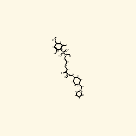 COc1cc(C)c(S(=O)(=O)N(C)CCOCC(=O)N(C)C[C@H]2CC[C@H](CN3CCCC3)CC2)c(C)c1